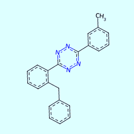 Cc1cccc(-c2nnc(-c3ccccc3Cc3ccccc3)nn2)c1